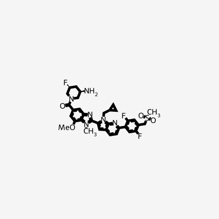 COc1cc(C(=O)N2C[C@H](N)C[C@@H](F)C2)cc2nc(-c3cc4ccc(-c5cc(F)c(CS(C)(=O)=O)cc5F)nc4n3CC3CC3)n(C)c12